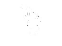 CCC[CH2][Mg][CH2]CCC.C[CH2][Al][CH2]C